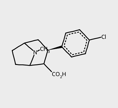 CN1C2CCC1C(C(=O)O)[C@H](c1ccc(Cl)cc1)C2